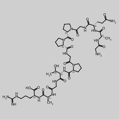 C[C@H](NC(=O)CNC(=O)[C@@H](NC(=O)[C@@H]1CCCN1C(=O)CNC(=O)[C@@H]1CCCN1C(=O)[C@@H]1CCCN1C(=O)CNC(=O)[C@H](CCC(N)=O)NC(=O)[C@H](C)NC(=O)CN)[C@@H](C)O)C(=O)N[C@@H](CCCNC(=N)N)C(=O)O